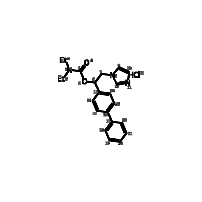 CCN(CC)C(=O)OC(Cn1ccnc1)c1ccc(-c2ccccc2)cc1.Cl